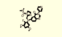 COc1cc(OC)c(F)c(N(Cc2nccn2[S+]([O-])N(C)C)c2ccc3ncn(-c4ccncc4)c(=O)c3c2)c1